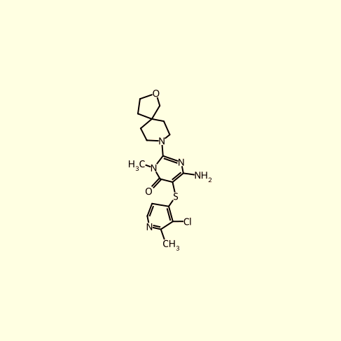 Cc1nccc(Sc2c(N)nc(N3CCC4(CCOC4)CC3)n(C)c2=O)c1Cl